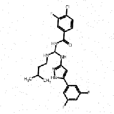 CC(C)CCNC(NC(=O)c1ccc(Cl)c(F)c1)Nc1cc(-c2cc(F)cc(F)c2)[nH]n1